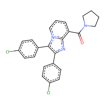 O=C(c1cccn2c(-c3ccc(Cl)cc3)c(-c3ccc(Cl)cc3)nc12)N1CCCC1